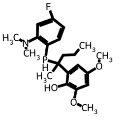 CCCC(C)(Pc1ccc(F)cc1N(C)C)c1cc(OC)cc(OC)c1O